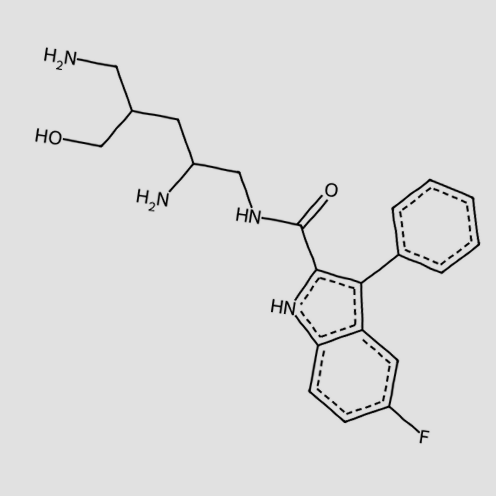 NCC(CO)CC(N)CNC(=O)c1[nH]c2ccc(F)cc2c1-c1ccccc1